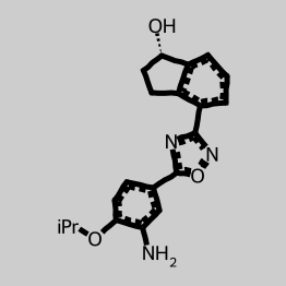 CC(C)Oc1ccc(-c2nc(-c3cccc4c3CC[C@@H]4O)no2)cc1N